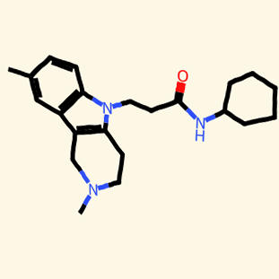 Cc1ccc2c(c1)c1c(n2CCC(=O)NC2CCCCC2)CCN(C)C1